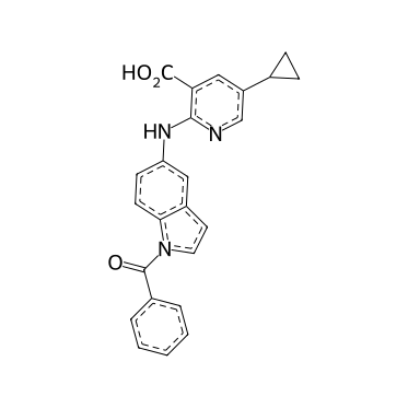 O=C(O)c1cc(C2CC2)cnc1Nc1ccc2c(ccn2C(=O)c2ccccc2)c1